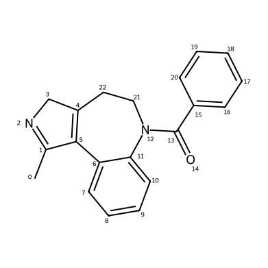 CC1=NCC2=C1c1ccccc1N(C(=O)c1ccccc1)CC2